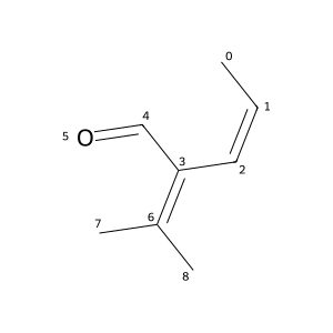 C/C=C\C(C=O)=C(C)C